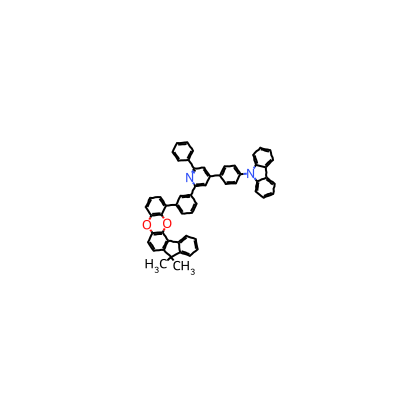 CC1(C)c2ccccc2-c2c1ccc1c2Oc2c(cccc2-c2cccc(-c3cc(-c4ccc(-n5c6ccccc6c6ccccc65)cc4)cc(-c4ccccc4)n3)c2)O1